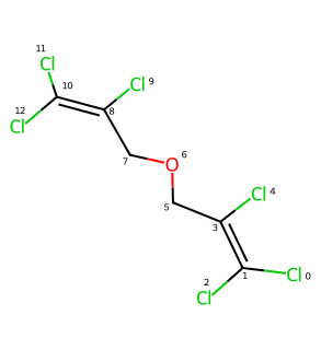 ClC(Cl)=C(Cl)COCC(Cl)=C(Cl)Cl